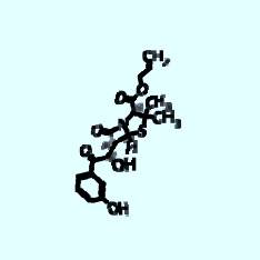 C=CCOC(=O)[C@@H]1N2C(=O)[C@@H]([C@H](O)C(=O)c3cccc(O)c3)[C@H]2SC1(C)C